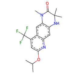 CC(C)Oc1cc(C(F)(F)F)c2cc3c(cc2n1)NC(C)(C)C(=O)N3C